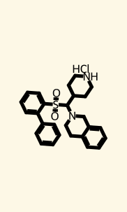 Cl.O=S(=O)(c1ccccc1-c1ccccc1)C(C1CCNCC1)N1CCc2ccccc2C1